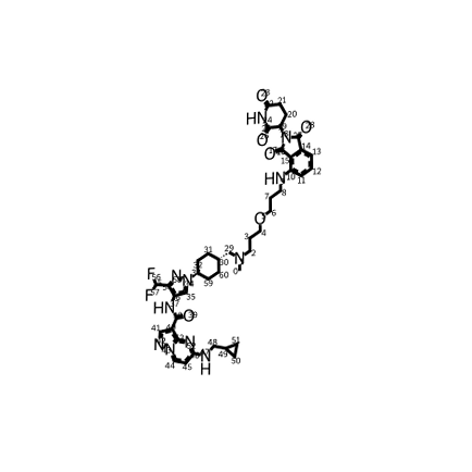 CN(CCCOCCCNc1cccc2c1C(=O)N(C1CCC(=O)NC1=O)C2=O)C[C@H]1CC[C@H](n2cc(NC(=O)c3cnn4ccc(NCC5CC5)nc34)c(C(F)F)n2)CC1